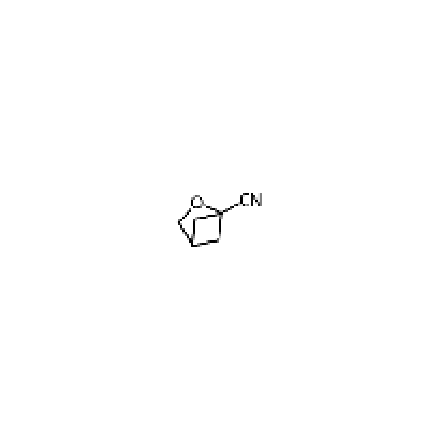 N#CC12CC(CO1)C2